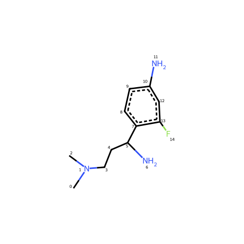 CN(C)CCC(N)c1ccc(N)cc1F